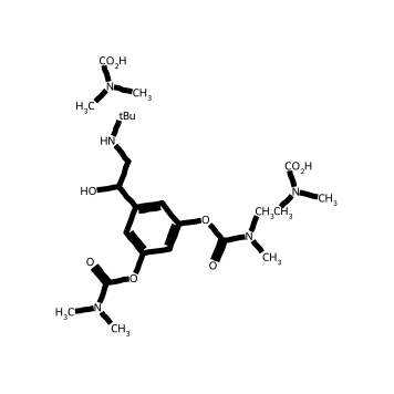 CN(C)C(=O)O.CN(C)C(=O)O.CN(C)C(=O)Oc1cc(OC(=O)N(C)C)cc(C(O)CNC(C)(C)C)c1